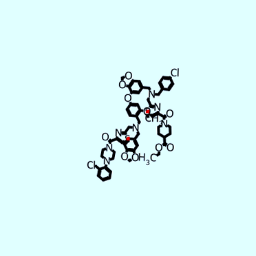 CCOC(=O)C1CCN(C(=O)c2csc(CN(Cc3ccc(Cl)cc3)Cc3cc4c(c(Oc5ccc(CN(Cc6ccc7c(c6)OCO7)Cc6nc(C(=O)N7CCN(c8ccccc8Cl)CC7)cs6)c(OC)c5)c3)OCO4)n2)CC1